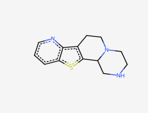 c1cnc2c3c(sc2c1)C1CNCCN1CC3